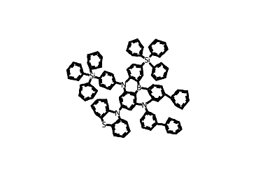 c1ccc(-c2cccc(N3c4cc(-c5ccccc5)ccc4B4c5cc([Si](c6ccccc6)(c6ccccc6)c6ccccc6)ccc5N(c5ccc([Si](c6ccccc6)(c6ccccc6)c6ccccc6)cc5)c5cc(N6c7ccccc7Sc7ccccc76)cc3c54)c2)cc1